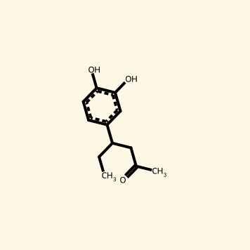 CCC(CC(C)=O)c1ccc(O)c(O)c1